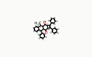 CC1c2ccccc2C(c2ccccc2)C2C(=O)C3C(c4ccccc4)=C(c4ccccc4)C3C(=O)C12